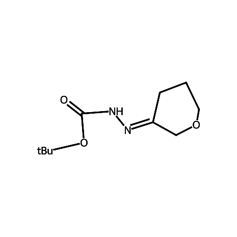 CC(C)(C)OC(=O)NN=C1CCCOC1